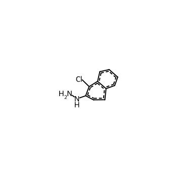 NNc1ccc2ccccc2c1Cl